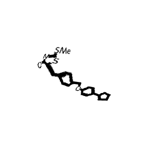 CSC1=NC(=O)C(=Cc2ccc(COc3ccc(C4CCCC4)cc3)cc2)S1